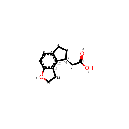 O=C(O)C[C@@H]1CCc2ccc3c(c21)CCO3